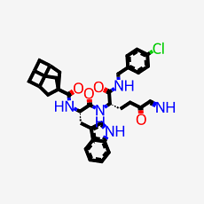 N=CC(=O)CC[C@H](NC(=O)[C@H](Cc1c[nH]c2ccccc12)NC(=O)C12CC3CC4CC(C1)C43C2)C(=O)NCc1ccc(Cl)cc1